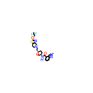 Cn1cc2c(C(=O)N[C@H]3CC[C@H](CCN4CCc5sc(OCC(C)(F)F)nc5C4)OC3)cccc2n1